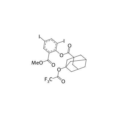 COC(=O)c1cc(I)cc(I)c1OC(=O)C12CC3CC(CC(OC(=O)C(F)(F)F)(C3)C1)C2